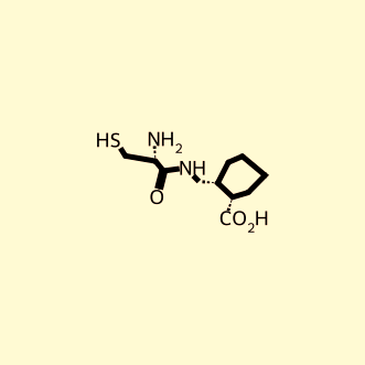 N[C@@H](CS)C(=O)NC[C@@H]1CCCC[C@@H]1C(=O)O